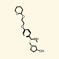 C=C(/C=C\C(=C/C)OCCOC1CCCCO1)[C@@H](CN1CC[C@H](O)C1)NC